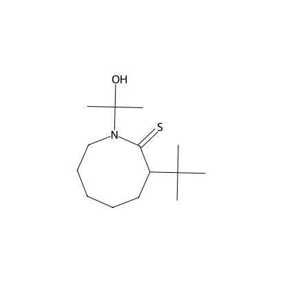 CC(C)(C)C1CCCCCN(C(C)(C)O)C1=S